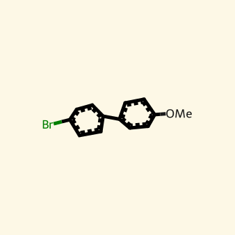 [CH2]Oc1ccc(-c2ccc(Br)cc2)cc1